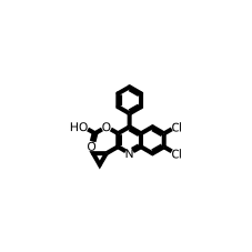 O=C(O)Oc1c(C2CC2)nc2cc(Cl)c(Cl)cc2c1-c1ccccc1